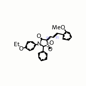 CCOc1ccc(N2C(=O)/C(=C/C=C/c3ccccc3OC)S(=O)(=O)C2c2ccccc2)cc1